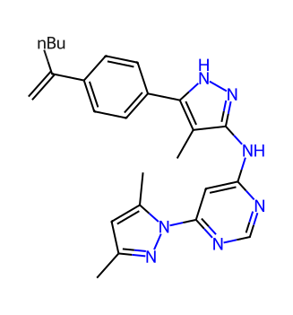 C=C(CCCC)c1ccc(-c2[nH]nc(Nc3cc(-n4nc(C)cc4C)ncn3)c2C)cc1